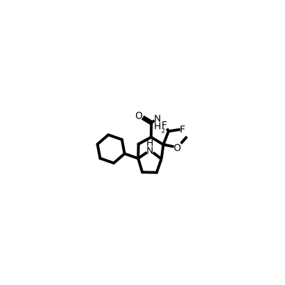 COC1(C(F)F)C2CCC(C3CCCCC3)(CC1C(N)=O)N2